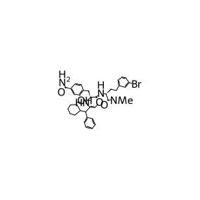 C/C=C(\N[C@@H](Cc1ccc(C(N)=O)cc1O)C(=O)N[C@@H](CCc1cccc(Br)c1)C(=O)NC)C(c1ccccc1)C1CCCCC1